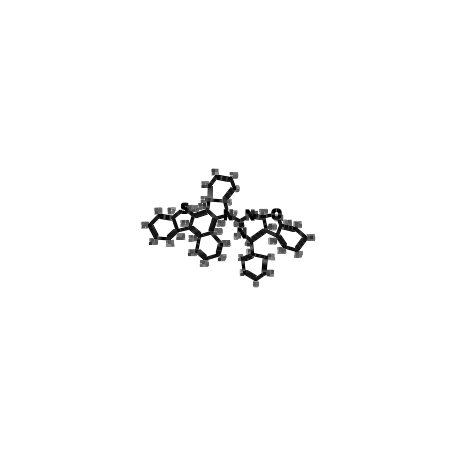 c1ccc(-c2nc(-n3c4ccccc4c4c5sc6ccccc6c5c5ccccc5c43)nc3oc4ccccc4c23)cc1